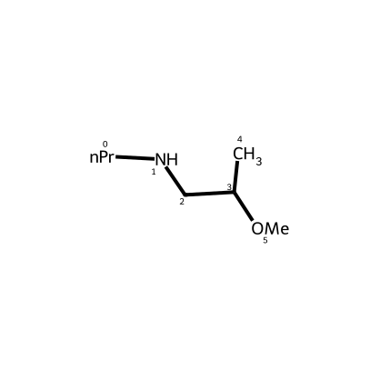 CCCNCC(C)OC